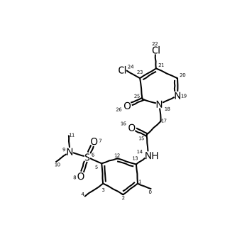 Cc1cc(C)c(S(=O)(=O)N(C)C)cc1NC(=O)Cn1ncc(Cl)c(Cl)c1=O